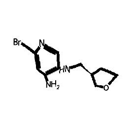 Nc1cc(Br)ncc1NC[C@H]1CCOC1